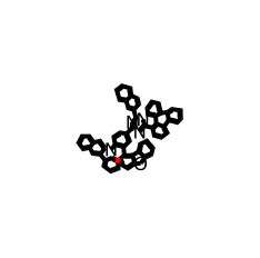 c1ccc2cc(-c3nc(-c4ccc(-n5c6ccccc6c6cc7ccccc7cc65)c(-c5cccc6oc7ccccc7c56)c4)nc(-c4cccc5c6ccccc6c6ccccc6c45)n3)ccc2c1